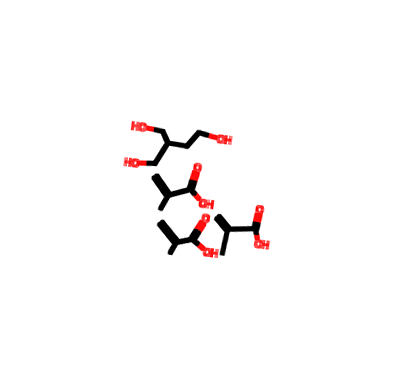 C=C(C)C(=O)O.C=C(C)C(=O)O.C=C(C)C(=O)O.OCCC(CO)CO